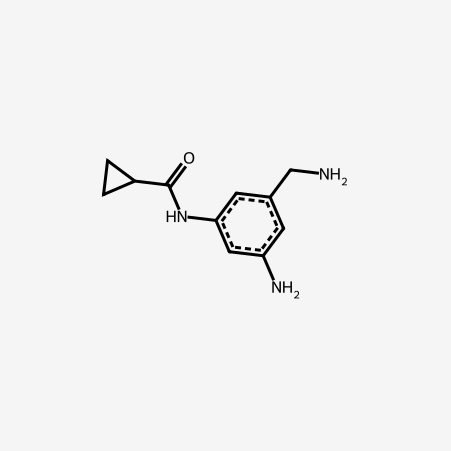 NCc1cc(N)cc(NC(=O)C2CC2)c1